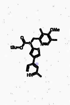 C=C/C(=C\C(C)=N)c1csc(N(Cc2ncc(C)c(OC)c2C)C(=O)OC(C)(C)C)c1